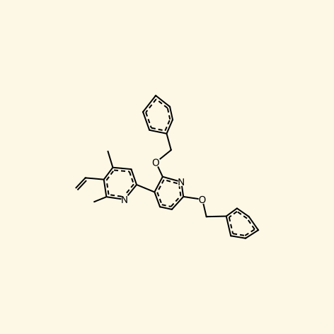 C=Cc1c(C)cc(-c2ccc(OCc3ccccc3)nc2OCc2ccccc2)nc1C